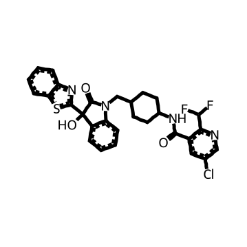 O=C(NC1CCC(CN2C(=O)C(O)(c3nc4ccccc4s3)c3ccccc32)CC1)c1cc(Cl)cnc1C(F)F